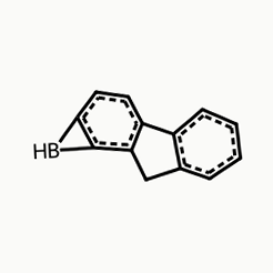 B1c2ccc3c(c21)Cc1ccccc1-3